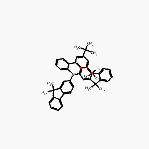 CC(C)(C)c1cc(-c2ccccc2N(c2ccc3c(c2)C(C)(C)c2ccccc2-3)c2ccc3c(c2)C(C)(C)c2ccccc2-3)cc(C(C)(C)C)c1